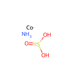 N.O=S(O)O.[Co]